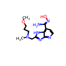 COCCCN(C)Cc1nc2nccc(/C(N)=N/O)c2[nH]1